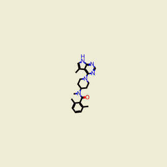 Cc1cccc(C)c1C(=O)N(C)C1CCN(c2ncnc3[nH]cc(C)c23)CC1